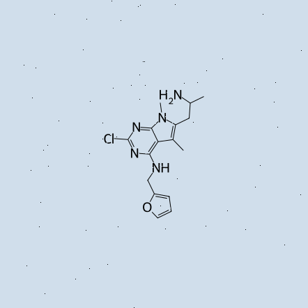 Cc1c(CC(C)N)n(C)c2nc(Cl)nc(NCc3ccco3)c12